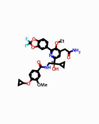 CCOc1c(CC(N)=O)cc([C@@](O)(CNC(=O)c2ccc(OC3CC3)c(OC)c2)C2CC2)nc1-c1ccc2c(c1)OC(F)(F)O2